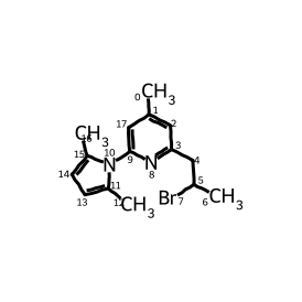 Cc1cc(CC(C)Br)nc(-n2c(C)ccc2C)c1